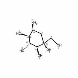 N[C@H]1C[C@](O)(CO)[C@@H](O)[C@H](O)[C@H]1O